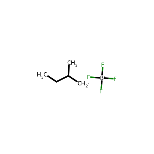 F[B-](F)(F)F.[CH2]C(C)CC